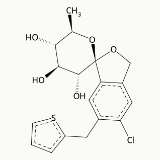 C[C@H]1O[C@]2(OCc3cc(Cl)c(Cc4cccs4)cc32)[C@H](O)[C@@H](O)[C@@H]1O